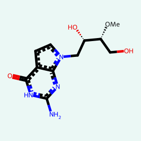 CO[C@H](CO)[C@@H](O)Cn1ccc2c(=O)[nH]c(N)nc21